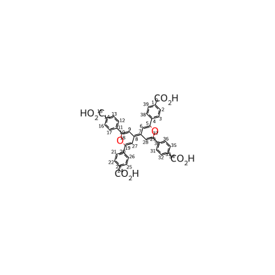 O=C(O)c1ccc(C2=CC(=C3C=C(c4ccc(C(=O)O)cc4)OC(c4ccc(C(=O)O)cc4)=C3)C=C(c3ccc(C(=O)O)cc3)O2)cc1